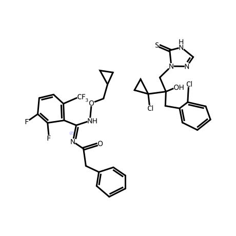 O=C(Cc1ccccc1)/N=C(\NOCC1CC1)c1c(C(F)(F)F)ccc(F)c1F.OC(Cc1ccccc1Cl)(Cn1nc[nH]c1=S)C1(Cl)CC1